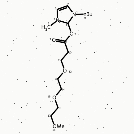 CCCCN1C=CN(C)C1OC(=O)CCOCCOCCOC